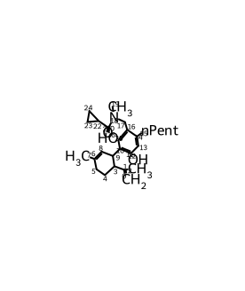 C=C(C)C1CCC(C)=CC1c1c(O)cc(CCCCC)c(CN(C)C(=O)C2CC2)c1O